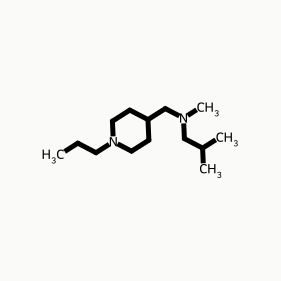 CCCN1CCC(CN(C)CC(C)C)CC1